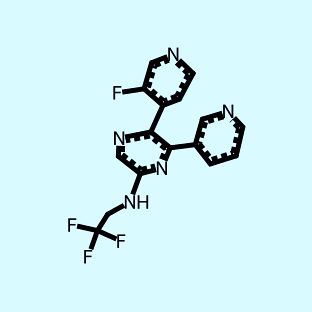 Fc1cnccc1-c1ncc(NCC(F)(F)F)nc1-c1cccnc1